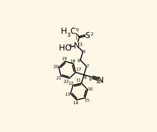 CC(=S)N(O)CCCC(C#N)(c1ccccc1)c1ccccc1